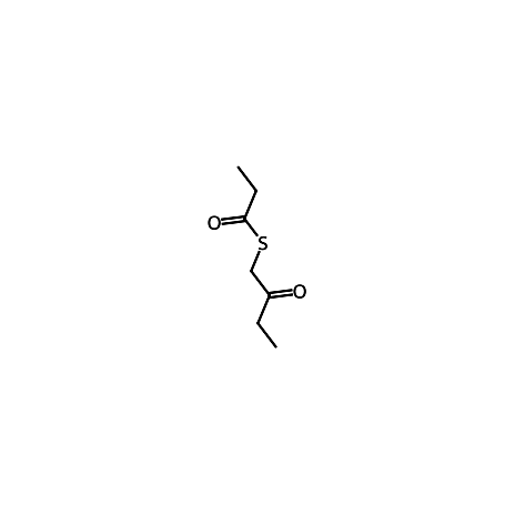 CCC(=O)CSC(=O)CC